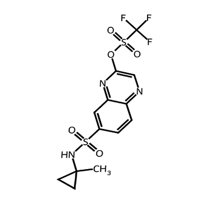 CC1(NS(=O)(=O)c2ccc3ncc(OS(=O)(=O)C(F)(F)F)nc3c2)CC1